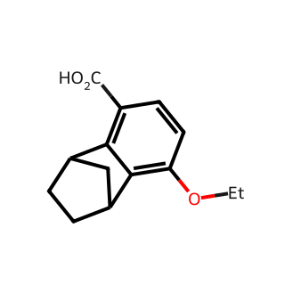 CCOc1ccc(C(=O)O)c2c1C1CCC2C1